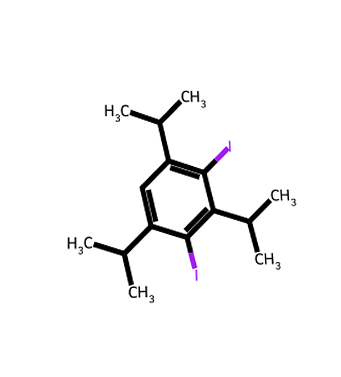 CC(C)c1cc(C(C)C)c(I)c(C(C)C)c1I